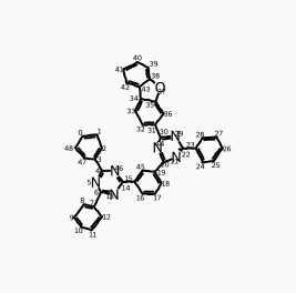 c1ccc(-c2nc(-c3ccccc3)nc(-c3cccc(-c4nc(-c5ccccc5)nc(-c5ccc6c(c5)oc5ccccc56)n4)c3)n2)cc1